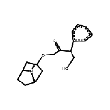 CN1C2CCC1CC(OCC(=O)[C@H](CO)c1ccccc1)C2